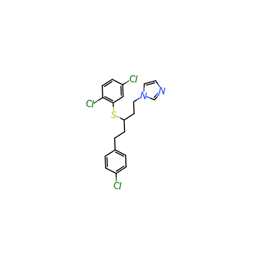 Clc1ccc(CCC(CCn2ccnc2)Sc2cc(Cl)ccc2Cl)cc1